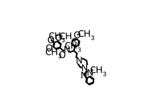 COc1ccc(C(CCN2CCCN(c3nc4ccccc4n3C)CC2)CN(C)C(=O)c2cc(OC)c(OC)c(OC)c2)cc1